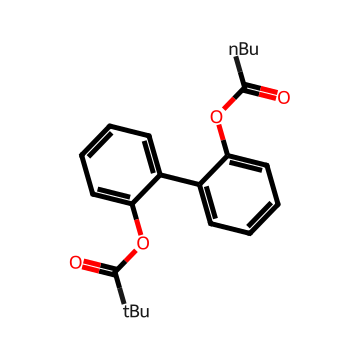 CCCCC(=O)Oc1ccccc1-c1ccccc1OC(=O)C(C)(C)C